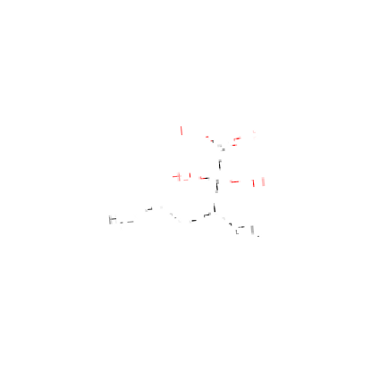 CCCC(C)C(O)(O)C(=O)O